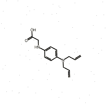 C=CCN(CC=C)c1ccc(NCC(=O)O)cc1